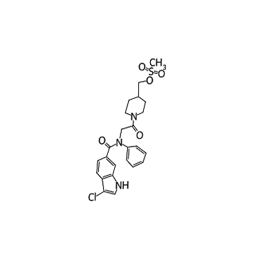 CS(=O)(=O)OCC1CCN(C(=O)CN(C(=O)c2ccc3c(Cl)c[nH]c3c2)c2ccccc2)CC1